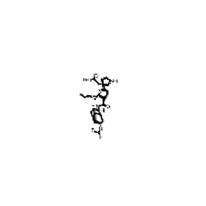 CCCSc1nc([C@]2(CC(=O)O)CCNC2)ccc1C(=O)N[C@H]1C2CC3CC1C[C@@](OC(F)F)(C3)C2